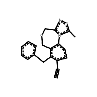 C#Cc1ccc2c(c1Cc1ccccc1)COCc1nnc(C)n1-2